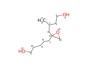 CC(CCO)CC1(CCCCCO)CO1